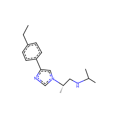 CCc1ccc(-c2cn([C@@H](C)CNC(C)C)cn2)cc1